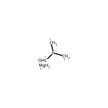 CN(C)C=O.[MgH2]